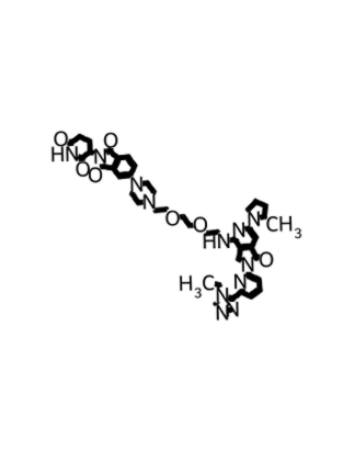 CCn1cnnc1-c1cccc(N2Cc3c(cc(N4CCC[C@H]4C)nc3NCCOCCOCCN3CCN(c4ccc5c(c4)C(=O)N(C4CCC(=O)NC4=O)C5=O)CC3)C2=O)n1